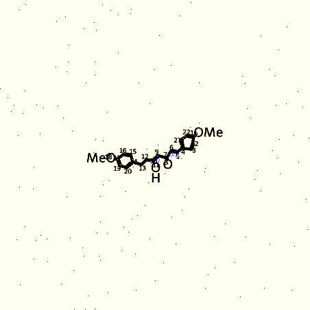 COc1ccc(/C=C/C(=O)/C=C(\O)CCc2ccc(OC)cc2)cc1